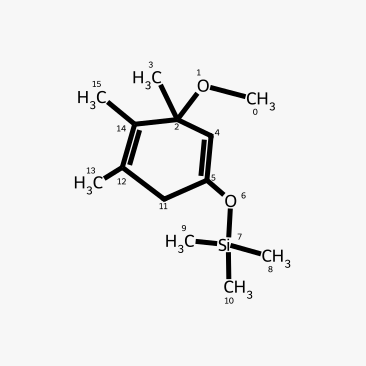 COC1(C)C=C(O[Si](C)(C)C)CC(C)=C1C